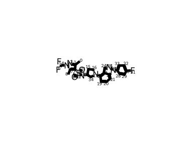 Cc1nn(C(F)F)c(C)c1S(=O)(=O)N[C@H]1CCN(c2cccc3c2cnn3-c2ccc(F)cc2)C1